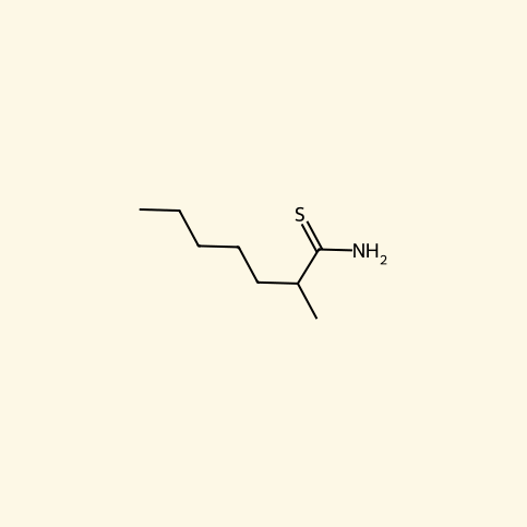 CCCCCC(C)C(N)=S